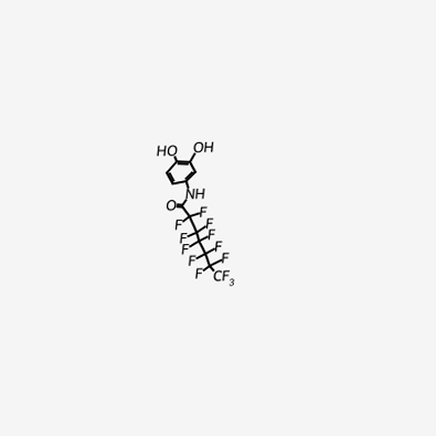 O=C(Nc1ccc(O)c(O)c1)C(F)(F)C(F)(F)C(F)(F)C(F)(F)C(F)(F)C(F)(F)F